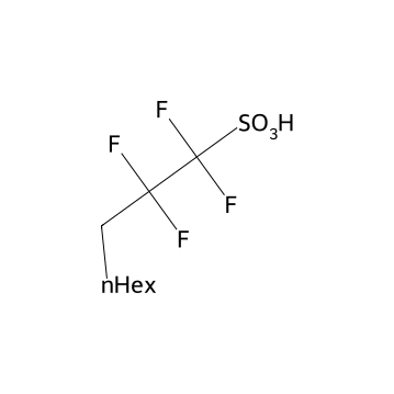 CCCCCCCC(F)(F)C(F)(F)S(=O)(=O)O